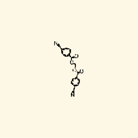 N#Cc1ccc(C(=O)OCOC(=O)c2ccc(C#N)cc2)cc1